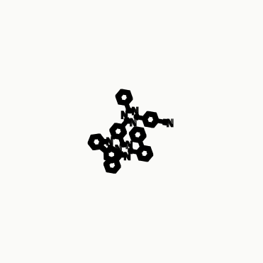 N#Cc1ccc(-c2nc(-c3ccccc3)nc(-c3ccc(-n4c5ccccc5c5ccccc54)c(-c4nc(-c5ccccc5)nc(-c5ccccc5-c5ccccc5)n4)c3)n2)cc1